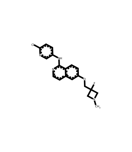 CN1CC(F)(COc2ccc3c(Nc4ccc(Cl)nc4)nccc3c2)C1